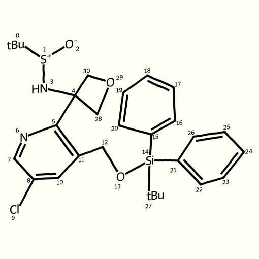 CC(C)(C)[S+]([O-])NC1(c2ncc(Cl)cc2CO[Si](c2ccccc2)(c2ccccc2)C(C)(C)C)COC1